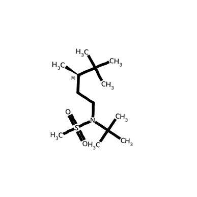 C[C@H](CCN(C(C)(C)C)S(C)(=O)=O)C(C)(C)C